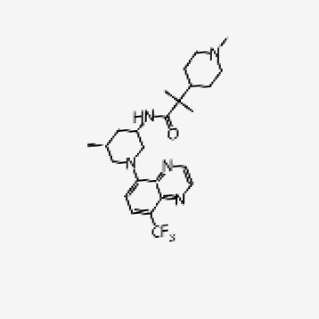 C[C@H]1C[C@@H](NC(=O)C(C)(C)C2CCN(C)CC2)CN(c2ccc(C(F)(F)F)c3nccnc23)C1